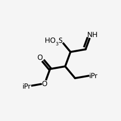 CC(C)CC(C(=O)OC(C)C)C(C=N)S(=O)(=O)O